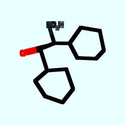 O=C(C1CCCCC1)C(C1CCCCC1)S(=O)(=O)O